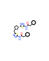 O=C(Cc1ccccc1)Nc1nnc(CC2CC[C@H](c3nnc(NC(=O)Cc4ccccc4)s3)C2)s1